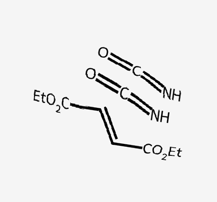 CCOC(=O)C=CC(=O)OCC.N=C=O.N=C=O